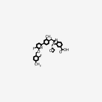 Cc1ccc(COc2nc(-c3ccc(Cc4nc5ccc(C(=O)O)cc5n4C[C@@H]4CCO4)c(C)c3)ccc2F)c(F)c1